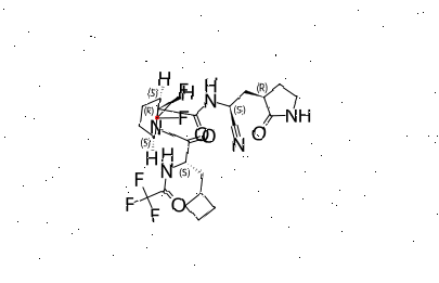 N#C[C@H](C[C@H]1CCNC1=O)NC(=O)[C@H]1[C@@H]2CC[C@@H](CC2(F)F)N1C(=O)[C@H](CC1CCC1)NC(=O)C(F)(F)F